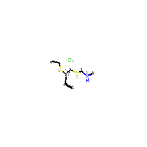 CC[S][Sn+]([CH2]C)[CH2]SCNC.[Cl-]